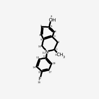 CC1Cc2cc(O)ccc2CN1c1ccc(F)cc1